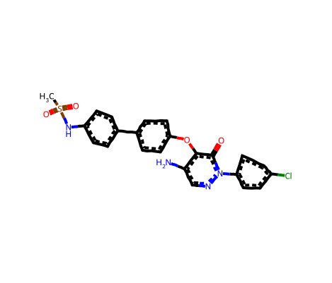 CS(=O)(=O)Nc1ccc(-c2ccc(Oc3c(N)cnn(-c4ccc(Cl)cc4)c3=O)cc2)cc1